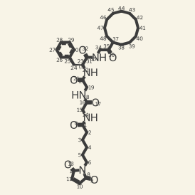 O=C(CCCCCN1C(=O)C=CC1=O)NCC(=O)NCC(=O)N[C@@H](Cc1ccccc1)C(=O)NCC(=O)C1CCCCCCCCCCC1